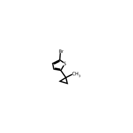 CC1(c2ccc(Br)s2)CC1